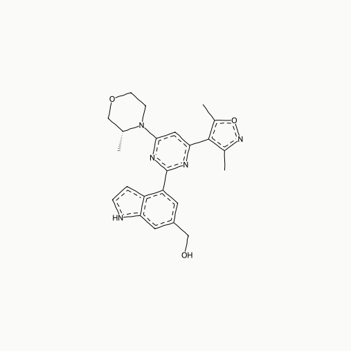 Cc1noc(C)c1-c1cc(N2CCOC[C@H]2C)nc(-c2cc(CO)cc3[nH]ccc23)n1